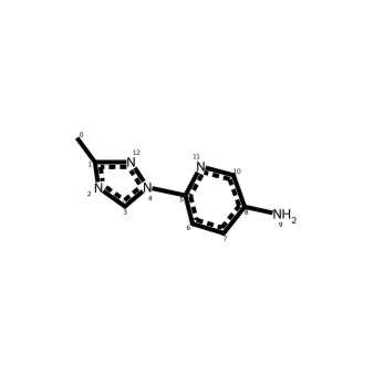 Cc1ncn(-c2ccc(N)cn2)n1